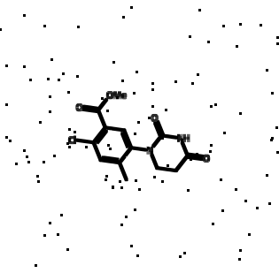 COC(=O)c1cc(N2CCC(=O)NC2=O)c(C)cc1Cl